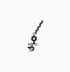 C=C1OCCC1NC(=O)c1ccc(OCCCCCCCC)cc1